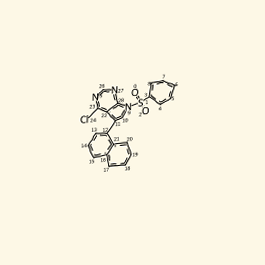 O=S(=O)(c1ccccc1)n1cc(-c2cccc3ccccc23)c2c(Cl)ncnc21